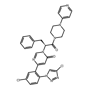 O=C([C@H](Cc1ccccc1)n1cnc(-c2cc(Cl)ccc2-n2cc(Cl)nn2)cc1=O)N1CCN(c2ccncc2)CC1